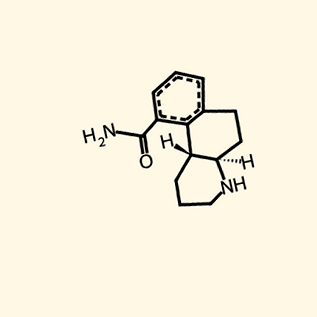 NC(=O)c1cccc2c1[C@H]1CCCN[C@@H]1CC2